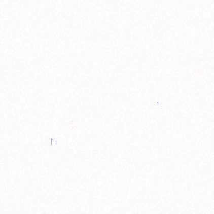 CC(C)=NOCCCN1CCOCC1